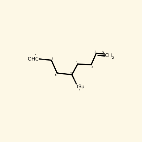 C=CCCC(CCC=O)C(C)(C)C